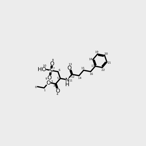 CCOC(=O)C(CS(=O)(=O)O)NC(=O)CCCc1ccccc1